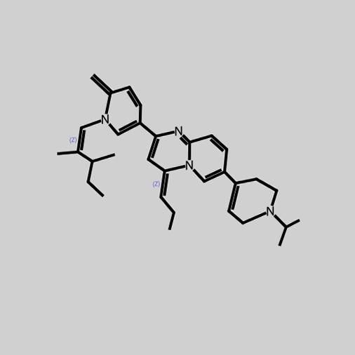 C=C1C=CC(C2=C/C(=C/CC)N3C=C(C4=CCN(C(C)C)CC4)C=CC3=N2)=CN1/C=C(/C)C(C)CC